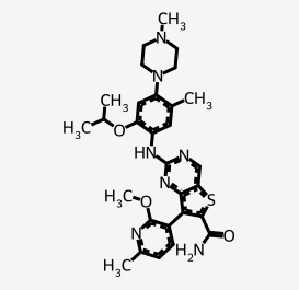 COc1nc(C)ccc1-c1c(C(N)=O)sc2cnc(Nc3cc(C)c(N4CCN(C)CC4)cc3OC(C)C)nc12